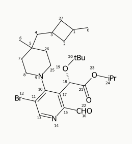 CC1CC(CC2(C)CCN(c3c(Br)cnc(C=O)c3[C@H](OC(C)(C)C)C(=O)OC(C)C)CC2)C1